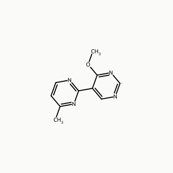 COc1n[c]ncc1-c1nccc(C)n1